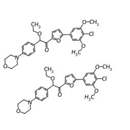 CCOC(C(=O)c1ccc(-c2cc(OC)c(Cl)c(OC)c2)o1)c1ccc(N2CCOCC2)cc1.CCOC(C(=O)c1ccc(-c2cc(OC)c(Cl)c(OC)c2)o1)c1ccc(N2CCOCC2)cc1